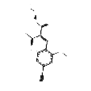 COc1cc(C#N)ccc1/C=C(\C(C)=O)C(=O)N=NN